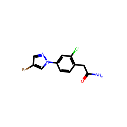 NC(=O)Cc1ccc(-n2cc(Br)cn2)cc1Cl